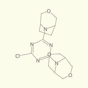 Clc1nc(N2C3CCC2COC3)nc(N2C3COCC2COC3)n1